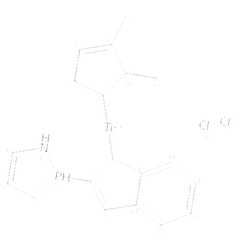 CC1=CC[C]([Ti+2][CH]2C([PH]3=CC=CN3)=Cc3ccccc32)=C1C.[Cl-].[Cl-]